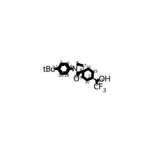 CC(C)(C)c1ccc(N2CC[C@]3(CC[C@H](C(O)C(F)(F)F)CC3)C2=O)cc1